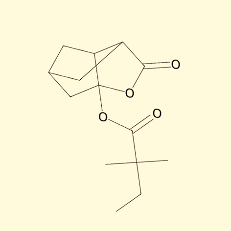 CCC(C)(C)C(=O)OC12CC3CC(C(=O)O1)C2C3